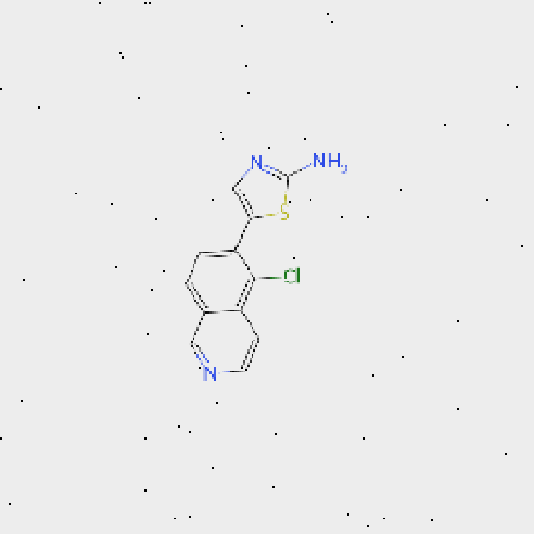 Nc1ncc(-c2ccc3cnccc3c2Cl)s1